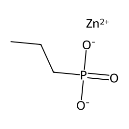 CCCP(=O)([O-])[O-].[Zn+2]